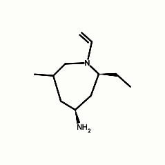 C=CN1CC(C)C[C@H](N)C[C@@H]1CC